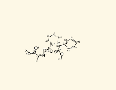 COC(=O)C(C)=NOC(=O)N1CCCCC1C(C(=O)OC)c1ccccc1